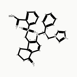 CNC(=O)c1ccccc1S(=O)(=O)Cc1c(O[C@H](Cn2ccnc2)c2ccccc2)ccc2c1CCCC2=O